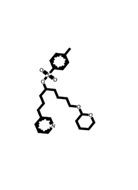 Cc1ccc(S(=O)(=O)OC(CCCCOC2CCCCO2)CCCc2cccnc2)cc1